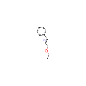 CCOC/C=C/c1ccccc1